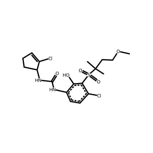 COCCC(C)(C)S(=O)(=O)c1c(Cl)ccc(NC(=O)NC2CCC=C2Cl)c1O